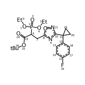 CCOP(=O)(OCC)C(Cc1nc(C2(c3ccc(F)cc3)CC2)no1)C(=O)OC(C)(C)C